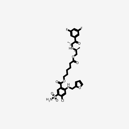 C[C@@H](COC(=O)CCCCCOC(=O)c1cc(S(N)(=O)=O)c(Cl)cc1NCc1ccco1)N[C@H](C)C(=O)c1cc(F)cc(F)c1